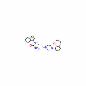 NC(=O)N(CCCCN1CCN(c2cccc3c2OCCCC3)CC1)c1coc2ccccc12